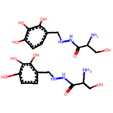 NC(CO)C(=O)NNCc1ccc(O)c(O)c1O.NC(CO)C(=O)NNCc1ccc(O)c(O)c1O